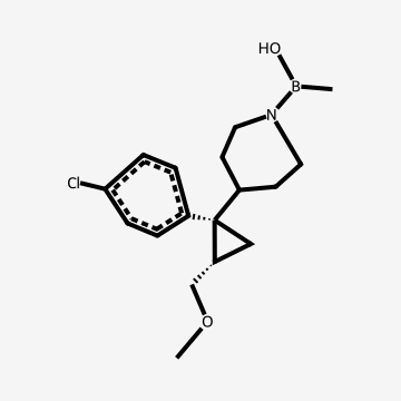 COC[C@H]1C[C@]1(c1ccc(Cl)cc1)C1CCN(B(C)O)CC1